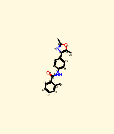 Cc1nc(-c2ccc(NC(=O)c3ccccc3C)cc2)c(C)o1